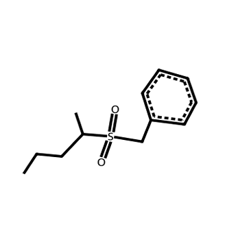 CCCC(C)S(=O)(=O)Cc1ccccc1